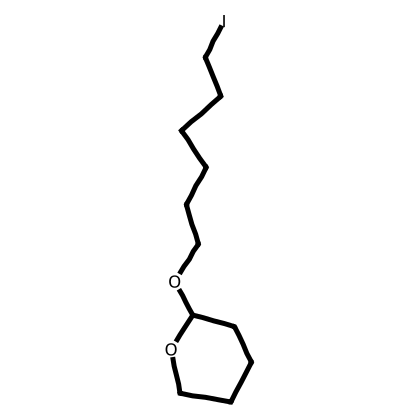 ICCCCCCOC1CCCCO1